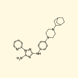 Nc1nc(Nc2ccc(N3CCN(C4CC5CCC4C5)CC3)cc2)nn1-c1ccccn1